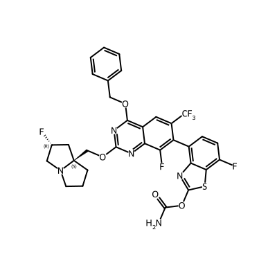 NC(=O)Oc1nc2c(-c3c(C(F)(F)F)cc4c(OCc5ccccc5)nc(OC[C@@]56CCCN5C[C@H](F)C6)nc4c3F)ccc(F)c2s1